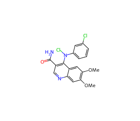 COc1cc2ncc(C(N)=O)c(N(Cl)c3cccc(Cl)c3)c2cc1OC